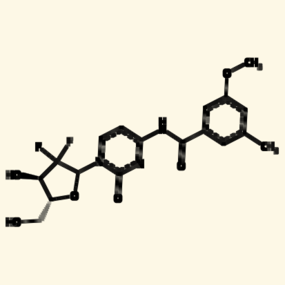 COc1cc(C)cc(C(=O)Nc2ccn(C3O[C@H](CO)[C@@H](O)C3(F)F)c(=O)n2)c1